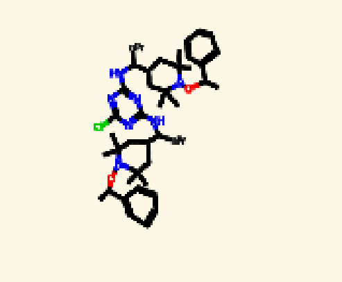 CCCC(Nc1nc(Cl)nc(NC(CCC)C2CC(C)(C)N(OC(C)c3ccccc3)C(C)(C)C2)n1)C1CC(C)(C)N(OC(C)c2ccccc2)C(C)(C)C1